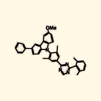 COc1ccc2c(c1)c1cc(-c3ccccc3)ccc1n2-c1c(C)cc(-c2ncnc(-c3c(C)cccc3C)n2)cc1C